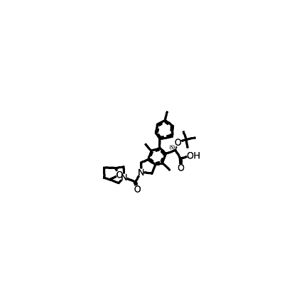 Cc1ccc(-c2c(C)c3c(c(C)c2[C@H](OC(C)(C)C)C(=O)O)CN(C(=O)N2CC4CCC(C2)O4)C3)cc1